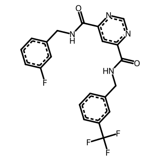 O=C(NCc1cccc(F)c1)c1cc(C(=O)NCc2cccc(C(F)(F)F)c2)ncn1